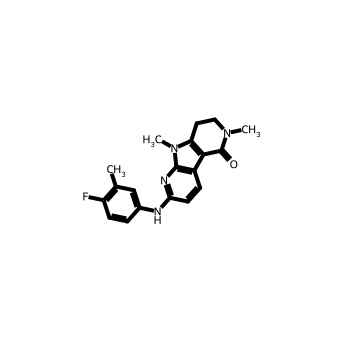 Cc1cc(Nc2ccc3c4c(n(C)c3n2)CCN(C)C4=O)ccc1F